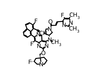 C#Cc1c(F)ccc2cccc(-c3ncc4c(N(C)[C@@H]5CCN(C(=O)/C=C/c6nc(C)nc(C)c6F)C5)nc(OC[C@@]56CCCN5C[C@H](F)C6)nc4c3F)c12